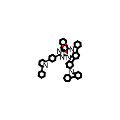 c1ccc(-c2cccc(-c3ccc(-c4nc(-c5ccccc5)nc(-n5c6ccc(-n7c8ccccc8c8ccccc87)cc6c6ccc7c8ccccc8n(-c8ccccc8)c7c65)n4)cc3)n2)cc1